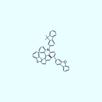 CC1(C)c2ccccc2-c2ccc(N(c3ccc(-c4ccc5c(c4)oc4ccccc45)cc3)c3ccccc3-c3cccc4ccc5sc6ccccc6c5c34)cc21